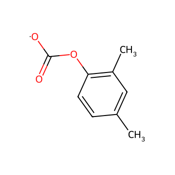 Cc1ccc(OC([O])=O)c(C)c1